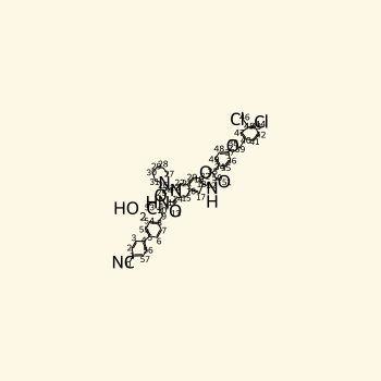 N#Cc1ccc(-c2ccc(CC(NC(=O)C3Cc4cc5c(cc4CN3C(=O)N3CCCCC3)OC(c3ccc(OCc4ccc(Cl)c(Cl)c4)cc3)C(=O)N5)C(=O)O)cc2)cc1